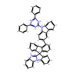 c1ccc(-c2nc(-c3ccccc3)nc(-n3c4ccccc4c4cc(-c5cccc6c5-c5ccccc5C65c6ccccc6-n6c5nc5ccccc56)ccc43)n2)cc1